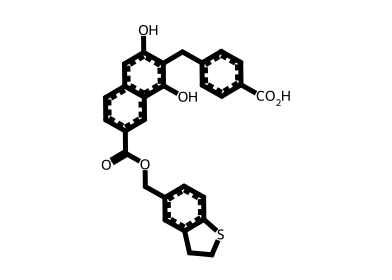 O=C(O)c1ccc(Cc2c(O)cc3ccc(C(=O)OCc4ccc5c(c4)CCS5)cc3c2O)cc1